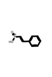 O=[PH](O)C=Cc1ccccc1